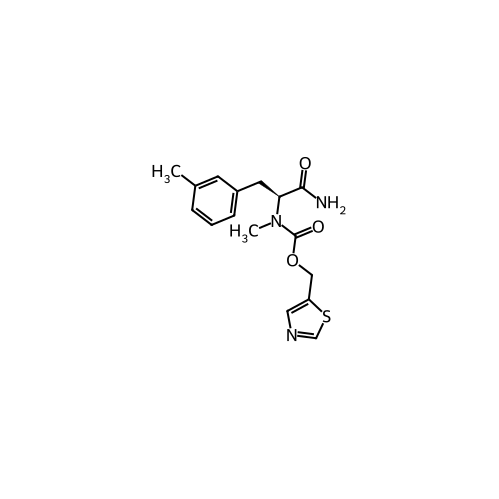 Cc1cccc(C[C@@H](C(N)=O)N(C)C(=O)OCc2cncs2)c1